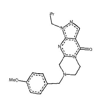 COc1ccc(CN2CCn3c(nc4c(cnn4CC(C)C)c3=O)C2)cc1